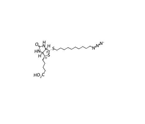 [N-]=[N+]=NCCCCCCCCCCS[C@@H]1S[C@@H](CCCCC(=O)O)[C@H]2NC(=O)N[C@@H]12